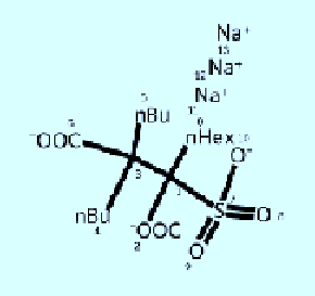 CCCCCCC(C(=O)[O-])(C(CCCC)(CCCC)C(=O)[O-])S(=O)(=O)[O-].[Na+].[Na+].[Na+]